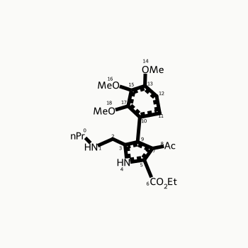 CCCNCc1[nH]c(C(=O)OCC)c(C(C)=O)c1-c1ccc(OC)c(OC)c1OC